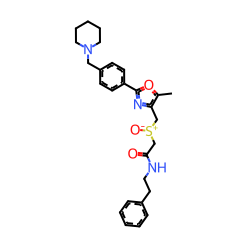 Cc1oc(-c2ccc(CN3CCCCC3)cc2)nc1C[S+]([O-])CC(=O)NCCc1ccccc1